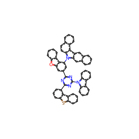 c1ccc2cc3c(cc2c1)c1c2ccccc2ccc1n3-c1cc(-c2nc(-c3cccc4sc5ccccc5c34)nc(-n3c4ccccc4c4ccccc43)n2)cc2oc3ccccc3c12